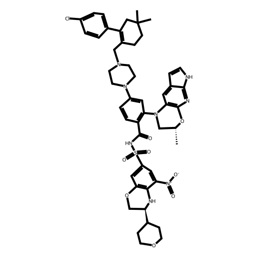 C[C@@H]1CN(c2cc(N3CCN(CC4=C(c5ccc(Cl)cc5)CC(C)(C)CC4)CC3)ccc2C(=O)NS(=O)(=O)c2cc3c(c([N+](=O)[O-])c2)N[C@@H](C2CCOCC2)CO3)c2cc3cc[nH]c3nc2O1